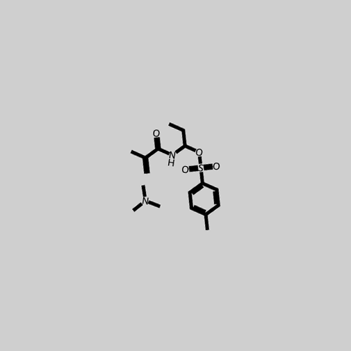 C=C(C)C(=O)NC(CC)OS(=O)(=O)c1ccc(C)cc1.CN(C)C